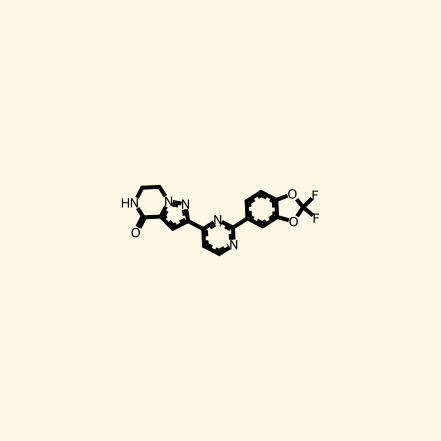 O=C1NCCn2nc(-c3ccnc(-c4ccc5c(c4)OC(F)(F)O5)n3)cc21